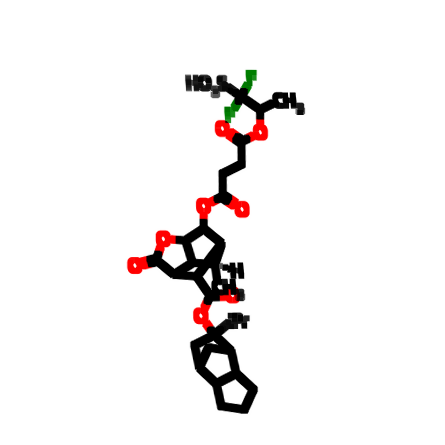 CC(C)C1(OC(=O)C2C3C(=O)OC4C(OC(=O)CCC(=O)OC(C)C(F)(F)S(=O)(=O)O)C2[C@@H](C)C43)CC2CC1C1CCCC21